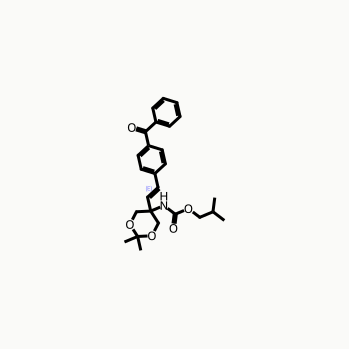 CC(C)COC(=O)NC1(/C=C/c2ccc(C(=O)c3ccccc3)cc2)COC(C)(C)OC1